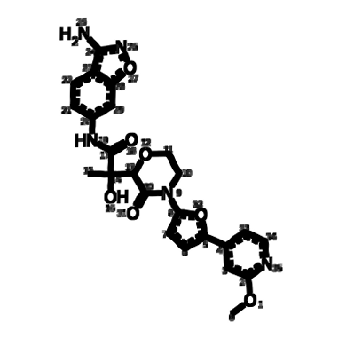 COc1cc(-c2ccc(N3CCOC(C(C)(O)C(=O)Nc4ccc5c(N)noc5c4)C3=O)o2)ccn1